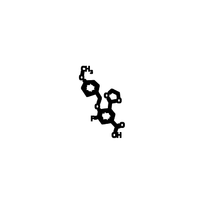 COc1ccc(COc2c(F)cc(C(=O)O)cc2C2OCCO2)cc1